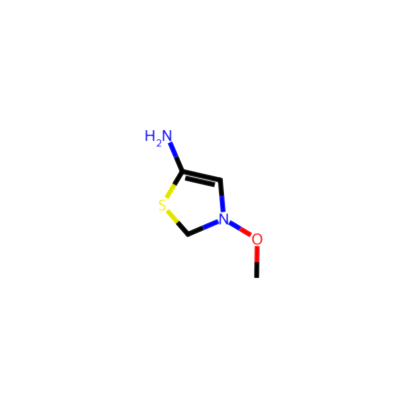 CON1C=C(N)SC1